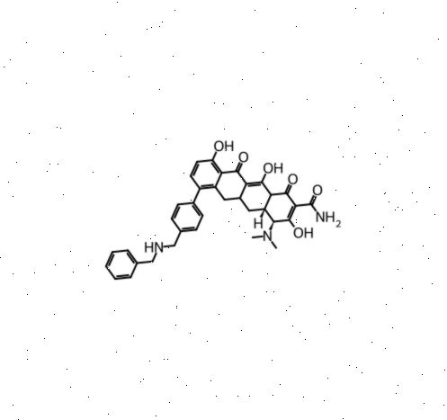 CN(C)[C@@H]1C(O)=C(C(N)=O)C(=O)C2C(O)=C3C(=O)c4c(O)ccc(-c5ccc(CNCc6ccccc6)cc5)c4CC3C[C@H]21